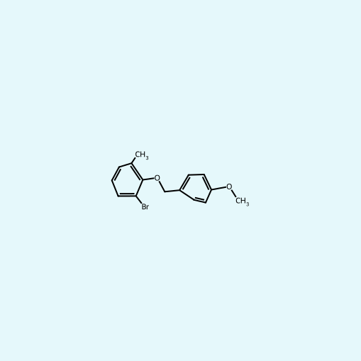 COc1ccc(COc2c(C)cccc2Br)cc1